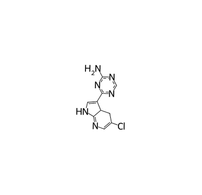 Nc1ncnc(C2=CNC3=NC=C(Cl)CC23)n1